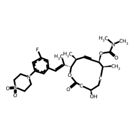 C/C(=C\c1cc(F)cc(N2CCS(=O)(=O)CC2)c1)[C@H]1OC(=O)C[C@H](O)CC[C@H](C)[C@H](OC(=O)N(C)C)/C=C/[C@@H]1C